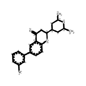 [C-]#[N+]c1cccc(-c2ccc3c(c2)C(=O)CC(C2CC(C)OC(C)C2)O3)c1